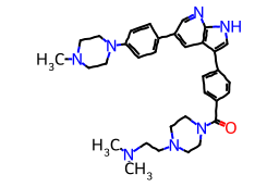 CN(C)CCN1CCN(C(=O)c2ccc(-c3c[nH]c4ncc(-c5ccc(N6CCN(C)CC6)cc5)cc34)cc2)CC1